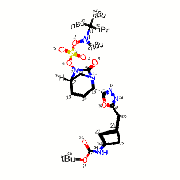 CCCCN(OS(=O)(=O)ON1C(=O)N2C[C@@H]1CC[C@H]2c1nnc(CC2CC(NC(=O)OC(C)(C)C)C2)o1)C(CCC)(CCCC)CCCC